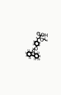 CCOC(Cc1ccc(OCn2c3ccccc3c3ccccc32)cc1)C(=O)O